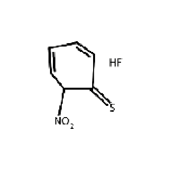 F.O=[N+]([O-])C1C=CC=CC1=S